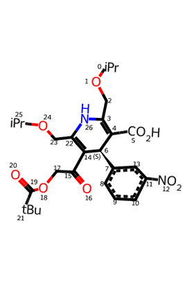 CC(C)OCC1=C(C(=O)O)[C@@H](c2cccc([N+](=O)[O-])c2)C(C(=O)COC(=O)C(C)(C)C)=C(COC(C)C)N1